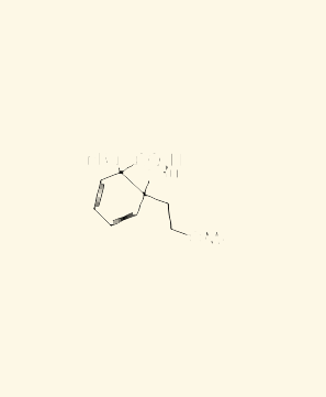 CCCCC1(CCOC)C=CC=CC1(CCCC)C(=O)O